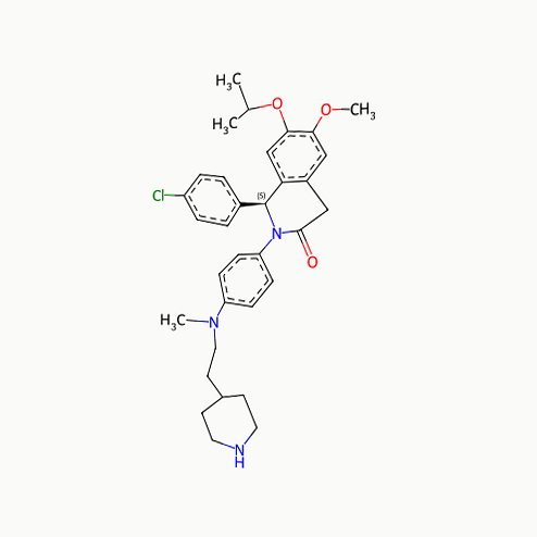 COc1cc2c(cc1OC(C)C)[C@H](c1ccc(Cl)cc1)N(c1ccc(N(C)CCC3CCNCC3)cc1)C(=O)C2